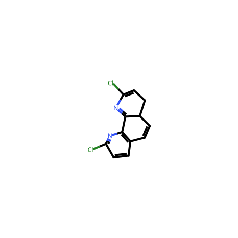 ClC1=CCC2C=Cc3ccc(Cl)nc3C2=N1